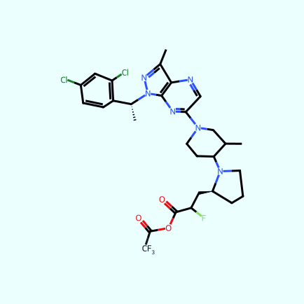 Cc1nn([C@H](C)c2ccc(Cl)cc2Cl)c2nc(N3CCC(N4CCC[C@H]4CC(F)C(=O)OC(=O)C(F)(F)F)C(C)C3)cnc12